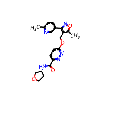 Cc1ccc(-c2noc(C)c2COc2ccc(C(=O)N[C@@H]3CCOC3)nn2)cn1